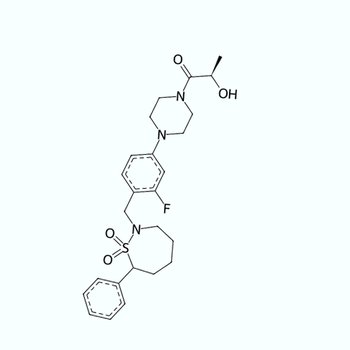 C[C@@H](O)C(=O)N1CCN(c2ccc(CN3CCCCC(c4ccccc4)S3(=O)=O)c(F)c2)CC1